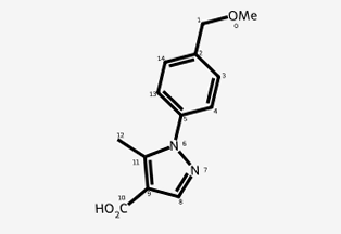 COCc1ccc(-n2ncc(C(=O)O)c2C)cc1